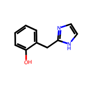 Oc1ccccc1Cc1ncc[nH]1